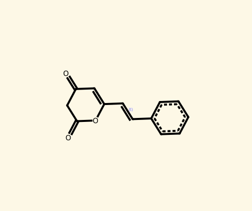 O=C1C=C(/C=C/c2ccccc2)OC(=O)C1